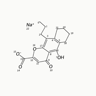 CCCc1c2c(c(O)c3c(=O)cc(C(=O)[O-])oc13)CCCC2.[Na+]